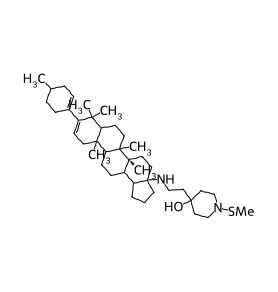 CSN1CCC(O)(CCNC23CCCC2C2CCC4C5(C)CC=C(C6=CCC(C)CC6)C(C)(C)C5CCC4(C)[C@]2(C)CC3)CC1